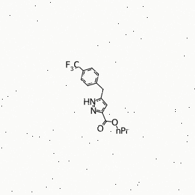 CCCOC(=O)c1cc(Cc2ccc(C(F)(F)F)cc2)[nH]n1